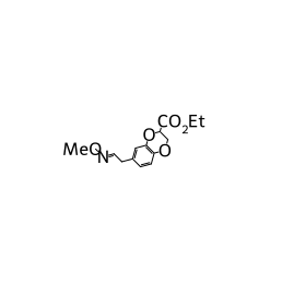 CCOC(=O)C1COc2ccc(CC=NOC)cc2O1